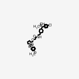 COc1ccc(S(=O)(=O)N2CCCC2COCC(=O)NCCC2CCC(C(c3ccc(Cl)cc3)N(C)C)CC2)cc1